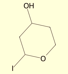 OC1CCOC(I)C1